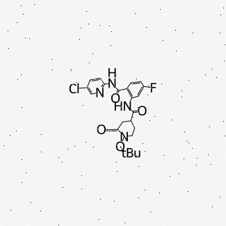 CC(C)(C)ON1CCC(C(=O)Nc2cc(F)ccc2C(=O)Nc2ccc(Cl)cn2)CC1=C=O